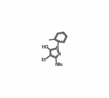 CCCCc1nn(-c2ccccc2C)c(O)c1CC